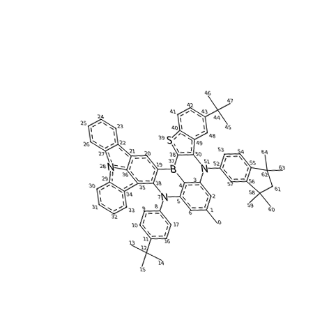 Cc1cc2c3c(c1)N(c1ccc(C(C)(C)C)cc1)c1c(cc4c5ccccc5n5c6ccccc6c1c45)B3c1sc3ccc(C(C)(C)C)cc3c1N2c1ccc2c(c1)C(C)(C)CC2(C)C